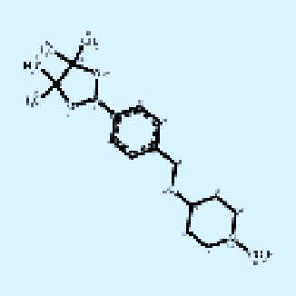 CC1(C)OB(c2ccc(COC3CCN(C(=O)O)CC3)cc2)OC1(C)C